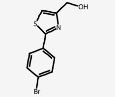 OCc1csc(-c2ccc(Br)cc2)n1